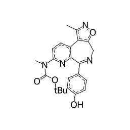 Cc1noc2c1-c1ccc(N(C)C(=O)OC(C)(C)C)nc1C(c1ccc(O)cc1)=NC2